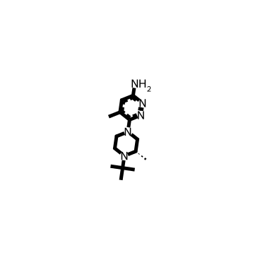 Cc1cc(N)nnc1N1CCN(C(C)(C)C)[C@@H](C)C1